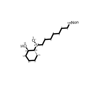 CCCCCCCCCCCCCCCC[S@+]([O-])[C@@H]1CCCC[C@H]1O